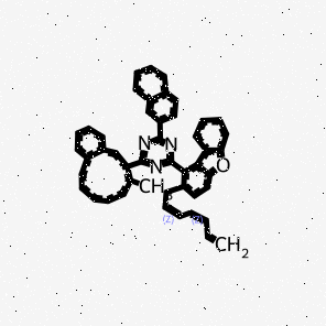 C=C/C=C\C=C/Cc1ccc2oc3ccccc3c2c1-c1nc(-c2ccc3ccccc3c2)nc(-c2cc3ccccc3cccccc2C)n1